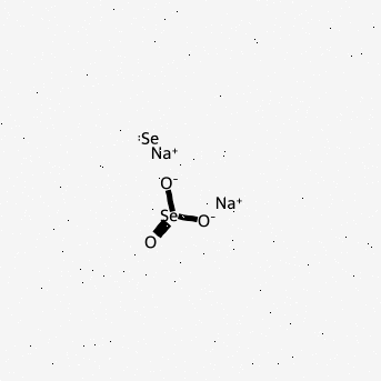 O=[Se]([O-])[O-].[Na+].[Na+].[Se]